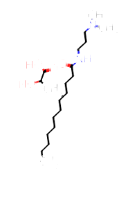 CC(O)C(=O)O.CCCCCCCCCCCC(=O)NCCCN(C)C